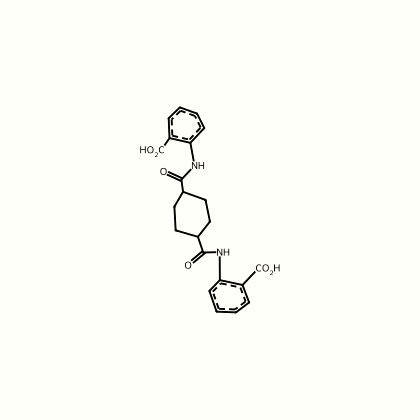 O=C(O)c1ccccc1NC(=O)C1CCC(C(=O)Nc2ccccc2C(=O)O)CC1